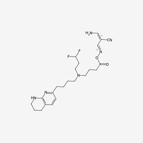 N#CC(/C=N/OC(=O)CCCN(CCCCc1ccc2c(n1)NCCC2)CCC(F)F)=C/N